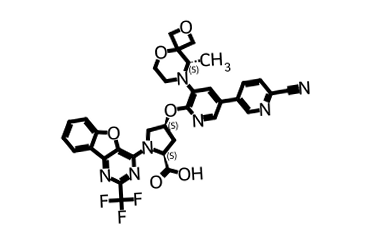 C[C@@H]1N(c2cc(-c3ccc(C#N)nc3)cnc2O[C@H]2C[C@@H](C(=O)O)N(c3nc(C(F)(F)F)nc4c3oc3ccccc34)C2)CCOC12COC2